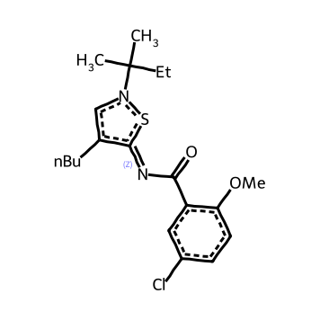 CCCCc1cn(C(C)(C)CC)s/c1=N\C(=O)c1cc(Cl)ccc1OC